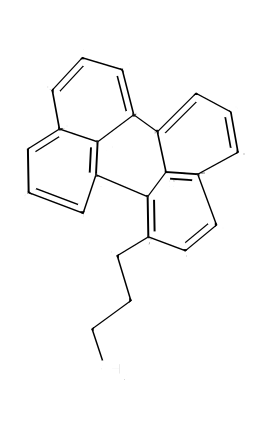 [CH2]CCCc1ccc2cccc3c4cccc5cccc(c1c23)c54